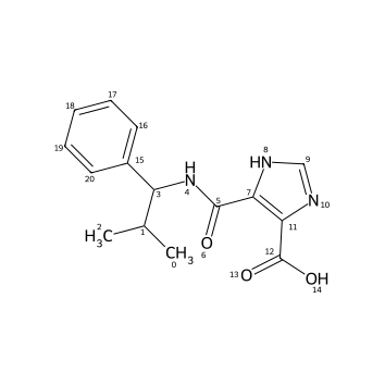 CC(C)C(NC(=O)c1[nH]cnc1C(=O)O)c1ccccc1